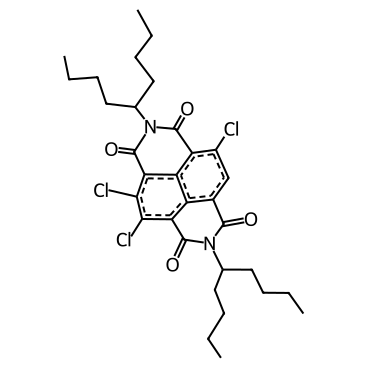 CCCCC(CCCC)N1C(=O)c2cc(Cl)c3c4c(c(Cl)c(Cl)c(c24)C1=O)C(=O)N(C(CCCC)CCCC)C3=O